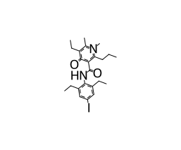 CCCc1c(C(=O)Nc2c(CC)cc(I)cc2CC)c(=O)c(CC)c(C)n1C